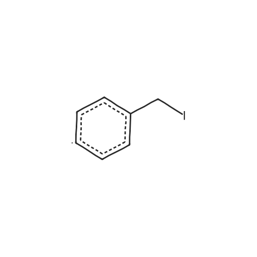 ICc1cc[c]cc1